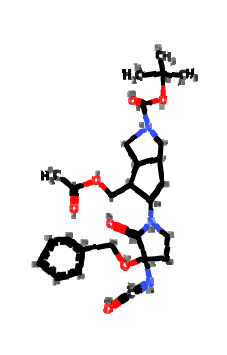 CC(=O)OCC1C2CN(C(=O)OC(C)(C)C)CC2CC1N1CCC(N=C=O)(OCc2ccccc2)C1=O